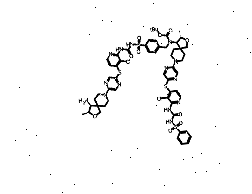 C[C@@H]1OCC2(CCN(c3cnc(Sc4ccnc(NC(=O)NS(=O)(=O)c5ccccc5)c4Cl)cn3)CC2)C1N(Cc1ccc(S(=O)(=O)NC(=O)Nc2nccc(Sc3cnc(N4CCC5(CC4)CO[C@@H](C)[C@H]5N)cn3)c2Cl)cc1)C(=O)OC(C)(C)C